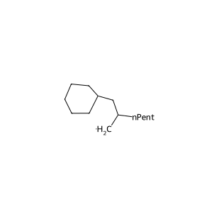 [CH2]C(CCCCC)CC1CCCCC1